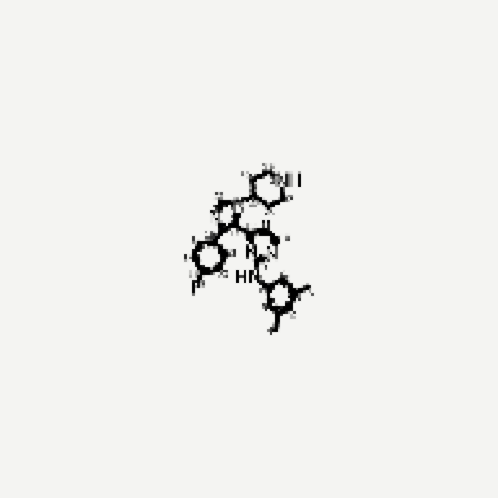 Cc1cc(C)cc(Nc2nccc(-c3c(-c4ccc(F)cc4)ncn3C3CCNCC3)n2)c1